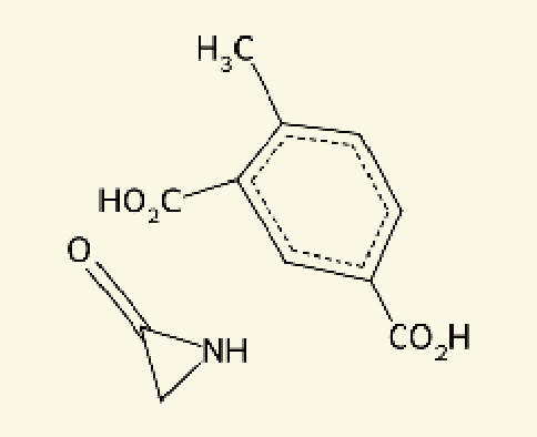 Cc1ccc(C(=O)O)cc1C(=O)O.O=C1CN1